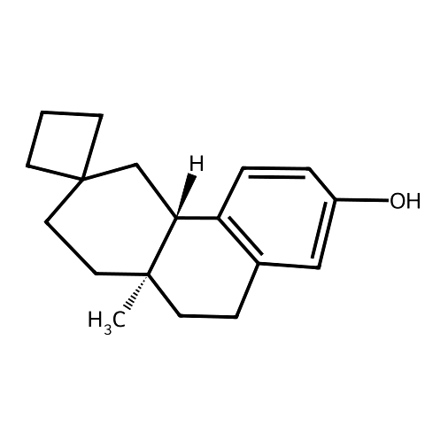 C[C@@]12CCc3cc(O)ccc3[C@H]1CC1(CCC1)CC2